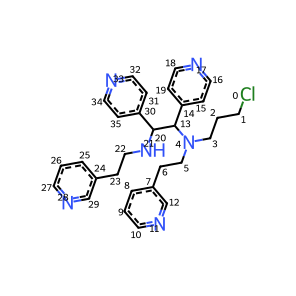 ClCCCN(CCc1cccnc1)C(c1ccncc1)C(NCCc1cccnc1)c1ccncc1